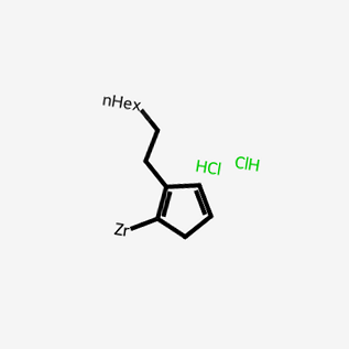 CCCCCCCCC1=[C]([Zr])CC=C1.Cl.Cl